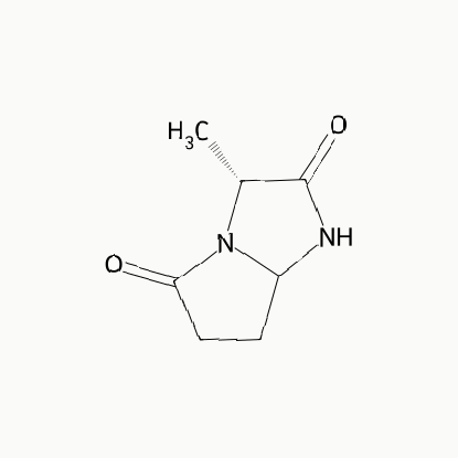 C[C@@H]1C(=O)NC2CCC(=O)N21